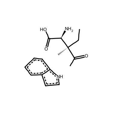 CC[C@@](C)(C(C)=O)[C@H](N)C(=O)O.c1ccc2[nH]ccc2c1